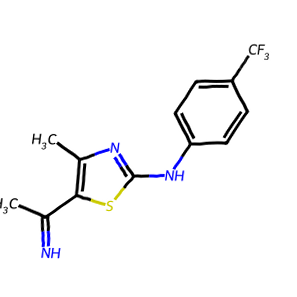 CC(=N)c1sc(Nc2ccc(C(F)(F)F)cc2)nc1C